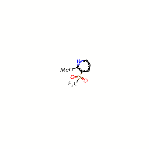 COc1ncccc1S(=O)(=O)C(F)(F)F